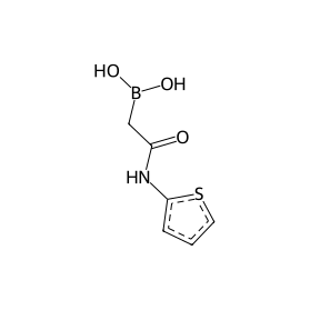 O=C(CB(O)O)Nc1cccs1